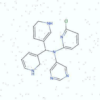 Clc1cccc(N(c2cncnc2)C(C2=CNCC=C2)C2=CC=CNC2)n1